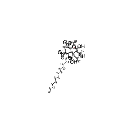 CCCCCCCCCCCCCCCc1c([N+](=O)[O-])cc([N+](=O)[O-])c(OC(C)C)c1C1C(C(=O)O)=C(C)NC(C)=C1C(=O)O